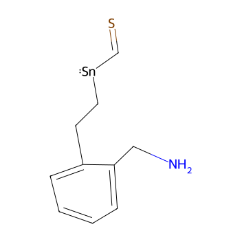 NCc1ccccc1C[CH2][Sn][CH]=S